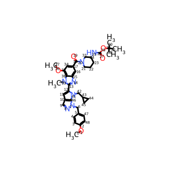 COc1ccc(Cn2ncc3cc(-c4nc5cc(C(=O)N6CCC[C@@H](NC(=O)OC(C)(C)C)C6)cc(OC)c5n4C)n(CC4CC4)c32)cc1